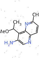 COC(C)c1c(N)cnc2ccc(C)nc12